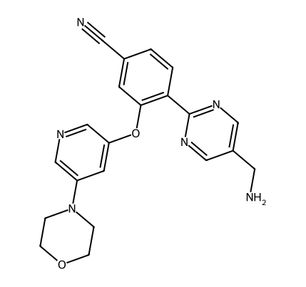 N#Cc1ccc(-c2ncc(CN)cn2)c(Oc2cncc(N3CCOCC3)c2)c1